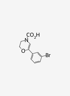 O=C(O)N1C=C(c2cccc(Br)c2)OCC1